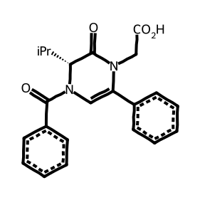 CC(C)[C@@H]1C(=O)N(CC(=O)O)C(c2ccccc2)=CN1C(=O)c1ccccc1